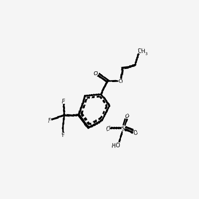 CCCOC(=O)c1cccc(C(F)(F)F)c1.O=S(=O)(O)Cl